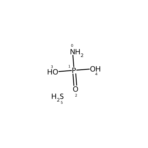 NP(=O)(O)O.S